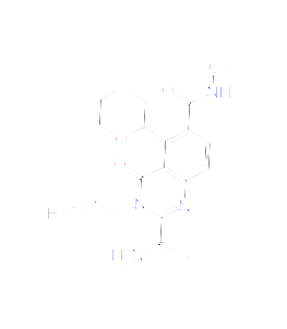 CCOn1c(C(N)=O)nc2ccc(C(=O)NC)c(C3COCCO3)c2c1=O